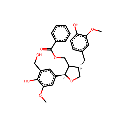 COc1cc(C[C@@H]2CO[C@@H](c3cc(CO)c(O)c(OC)c3)C2COC(=O)c2ccccc2)ccc1O